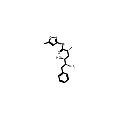 Cc1cc(NC(=O)[C@H](C)C[C@H](O)[C@@H](N)Cc2ccccc2)no1